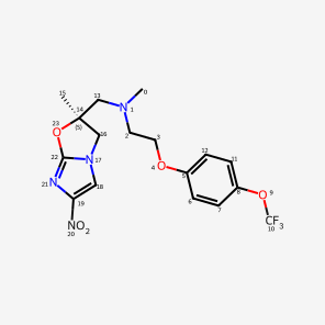 CN(CCOc1ccc(OC(F)(F)F)cc1)C[C@@]1(C)Cn2cc([N+](=O)[O-])nc2O1